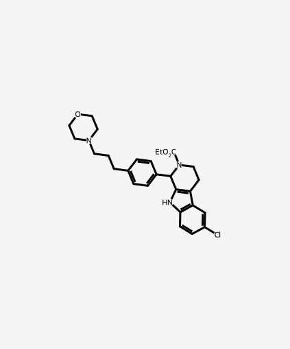 CCOC(=O)N1CCc2c([nH]c3ccc(Cl)cc23)C1c1ccc(CCCN2CCOCC2)cc1